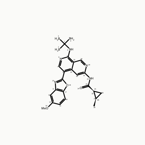 BC(B)(B)Nc1ncc(-c2nc3cc(OC)ccc3o2)c2cc(NC(=O)[C@H]3C[C@H]3C)ncc12